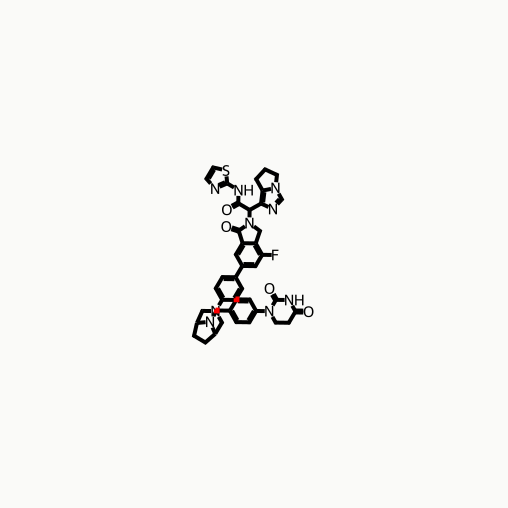 O=C1CCN(c2ccc(CN3C4CCC3CN(c3ccc(-c5cc(F)c6c(c5)C(=O)N(C(C(=O)Nc5nccs5)c5ncn7c5CCC7)C6)cc3)C4)cc2)C(=O)N1